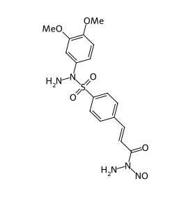 COc1ccc(N(N)S(=O)(=O)c2ccc(/C=C/C(=O)N(N)N=O)cc2)cc1OC